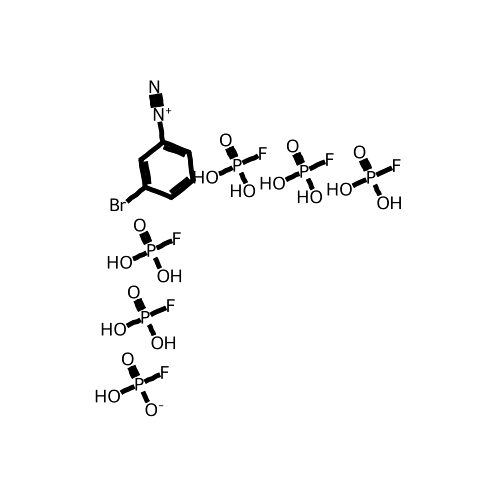 N#[N+]c1cccc(Br)c1.O=P(O)(O)F.O=P(O)(O)F.O=P(O)(O)F.O=P(O)(O)F.O=P(O)(O)F.O=P([O-])(O)F